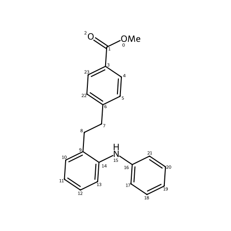 COC(=O)c1ccc(CCc2ccccc2Nc2ccccc2)cc1